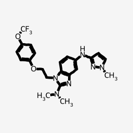 CN(C)c1nc2cc(Nc3ccn(C)n3)ccc2n1CCOc1ccc(OC(F)(F)F)cc1